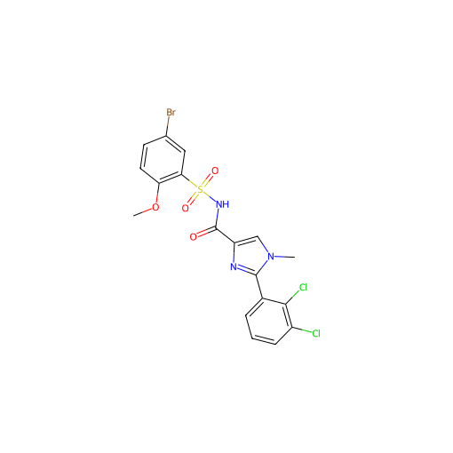 COc1ccc(Br)cc1S(=O)(=O)NC(=O)c1cn(C)c(-c2cccc(Cl)c2Cl)n1